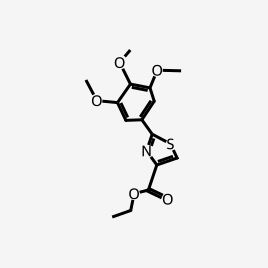 CCOC(=O)c1csc(-c2cc(OC)c(OC)c(OC)c2)n1